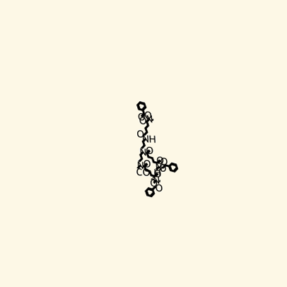 CN(OC(=O)c1ccccc1)C(=O)CCCC(=O)NCCCN(CCCN(CC(=O)O)C(=O)CCCC(=O)N(C)OC(=O)c1ccccc1)C(=O)CCCC(=O)N(C)OC(=O)c1ccccc1